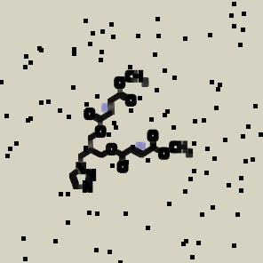 COC(=O)/C=C/C(=O)OCC(COC(=O)/C=C/C(=O)OC)Cn1ccnn1